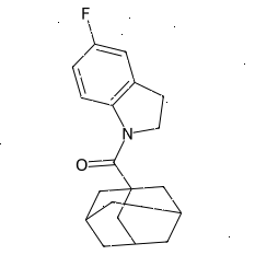 O=C(N1CCc2cc(F)ccc21)C12CC3CC(CC(C3)C1)C2